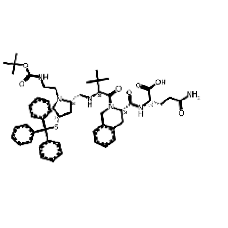 CC(C)(C)OC(=O)NCCN1C[C@@H](SC(c2ccccc2)(c2ccccc2)c2ccccc2)C[C@H]1CN[C@H](C(=O)N1Cc2ccccc2C[C@H]1C(=O)N[C@@H](CCC(N)=O)C(=O)O)C(C)(C)C